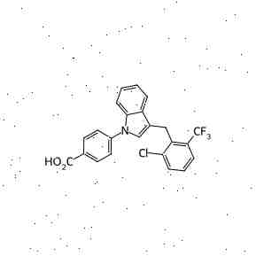 O=C(O)c1ccc(-n2cc(Cc3c(Cl)cccc3C(F)(F)F)c3ccccc32)cc1